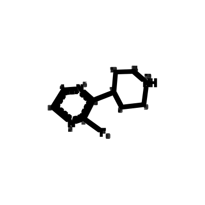 Fc1nccnc1C1CCNCC1